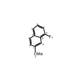 COc1[c]cc2cccc(F)c2c1